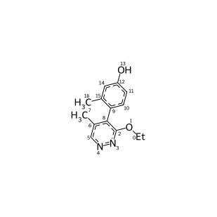 CCOc1nncc(C)c1-c1ccc(O)cc1C